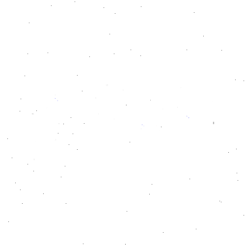 CC(C)C(NC(=O)c1cc(-c2ccc(Oc3nc4ccc(F)cc4s3)cc2)no1)C(=O)O